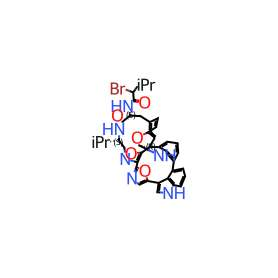 CC(C)C(Br)C(=O)N[C@H]1Cc2ccc3c(c2)[C@]24c5cccc(c5NC2O3)-c2cccc3[nH]cc(c23)-c2cnc(o2)-c2nc(oc24)[C@H](C(C)C)NC1=O